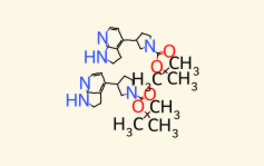 CC(C)(C)OC(=O)N1CCC(c2ccnc3c2CCN3)C1.CC(C)(C)OC(=O)N1CCC(c2ccnc3c2CCN3)C1